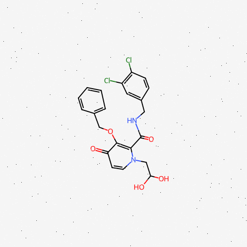 O=C(NCc1ccc(Cl)c(Cl)c1)c1c(OCc2ccccc2)c(=O)ccn1CC(O)O